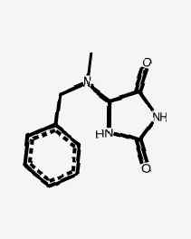 CN(Cc1ccccc1)C1NC(=O)NC1=O